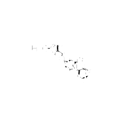 Cc1nc(COc2ccn(-c3cccnc3)c(=O)c2)cs1